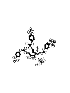 CCCCCCCCCCC(CCOC(=O)Oc1ccc(S(=O)(=O)[O-])cc1)C(N)(CCOC(=O)Oc1ccc(S(=O)(=O)[O-])cc1)CCOC(=O)Oc1ccc(S(=O)(=O)[O-])cc1.Cl.[Na+].[Na+].[Na+]